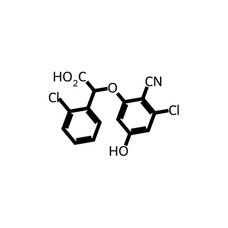 N#Cc1c(Cl)cc(O)cc1OC(C(=O)O)c1ccccc1Cl